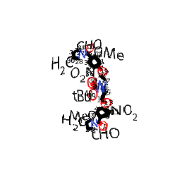 C=C1CC(C=O)N(C(=O)c2cc([N+](=O)[O-])c(OCCN(CCOc3cc(OC)c(C(=O)N4CC(=C)CC4C=O)cc3[N+](=O)[O-])C(=O)OC(C)(C)C)cc2OC)C1